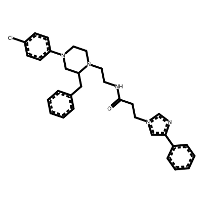 O=C(CCn1cnc(-c2ccccc2)c1)NCCN1CCN(c2ccc(Cl)cc2)CC1Cc1ccccc1